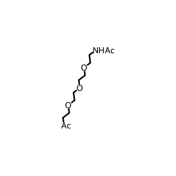 CC(=O)CCOCCOCCOCCNC(C)=O